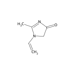 C=CN1CC(=O)N=C1C